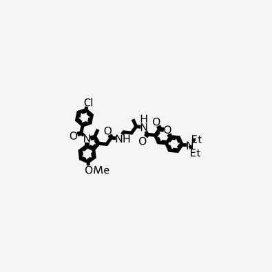 CCN(CC)c1ccc2cc(C(=O)NC(C)CCNC(=O)Cc3c(C)n(C(=O)c4ccc(Cl)cc4)c4ccc(OC)cc34)c(=O)oc2c1